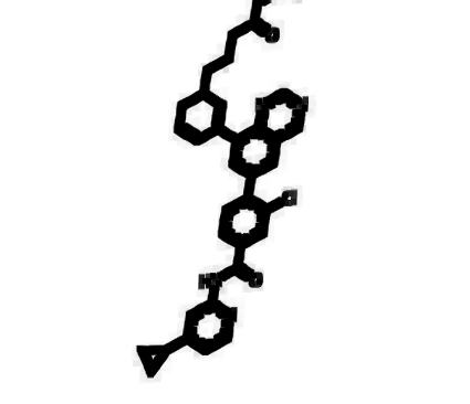 C=CC(=O)CCCC1C=C(c2cc(-c3ccc(C(=O)Nc4cc(C5CC5)ccn4)cc3Cl)cc3cncnc23)C=CC1